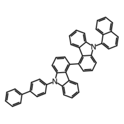 c1ccc(-c2ccc(-n3c4ccccc4c4c(-c5cccc6c5c5ccccc5n6-c5cccc6ccccc56)cccc43)cc2)cc1